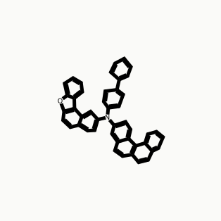 c1ccc(-c2ccc(N(c3ccc4c(ccc5ccc6ccccc6c54)c3)c3ccc4ccc5oc6ccccc6c5c4c3)cc2)cc1